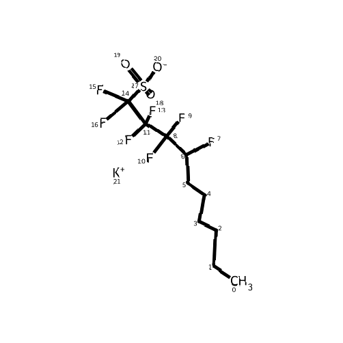 CCCCCCC(F)C(F)(F)C(F)(F)C(F)(F)S(=O)(=O)[O-].[K+]